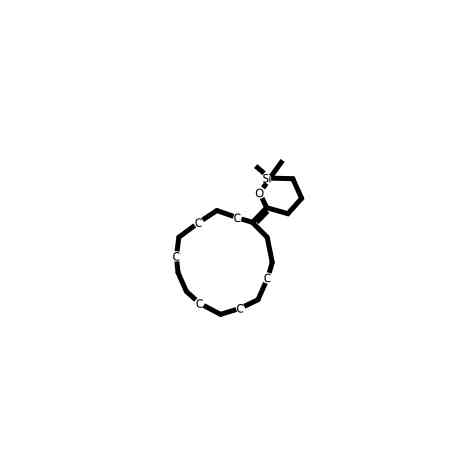 C[Si]1(C)CCCC(=C2CCCCCCCCCCCCCC2)O1